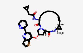 O=C(CC1CC1)N[C@H]1CCCCCC=C[C@@H]2C[C@@]2(C(=O)O)NC(=O)[C@@H]2C[C@@H](Oc3cc(-c4ccccn4)nc4ccsc34)CN2C1=O